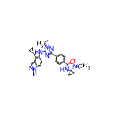 C=NC1(NC(=O)c2ccc(-c3nc(Nc4ccc5[nH]ncc5c4C4CC4)n(C)n3)cc2)CC1